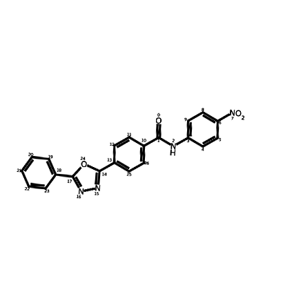 O=C(Nc1ccc([N+](=O)[O-])cc1)c1ccc(-c2nnc(-c3ccccc3)o2)cc1